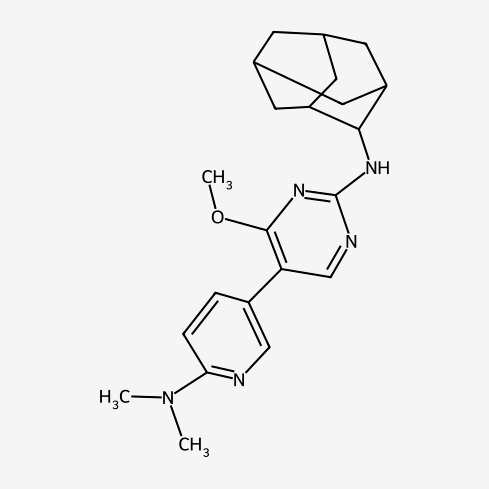 COc1nc(NC2C3CC4CC(C3)CC2C4)ncc1-c1ccc(N(C)C)nc1